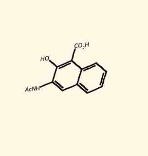 CC(=O)Nc1cc2ccccc2c(C(=O)O)c1O